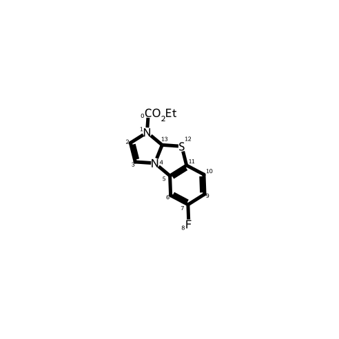 CCOC(=O)N1C=CN2c3cc(F)ccc3SC12